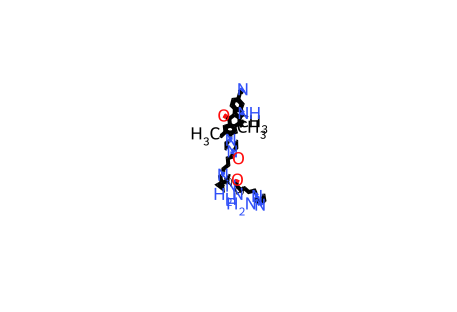 CCc1cc2c(cc1N1CCN(C(=O)CCCN3C[C@H](NC(=O)[C@@H](N)CCCn4ccnc4N)C4(CC4)C3)CC1)C(C)(C)c1[nH]c3cc(C#N)ccc3c1C2=O